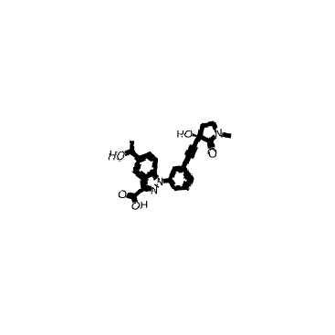 CC(O)c1ccc2c(c1)c(C(=O)O)nn2-c1cccc(C#C[C@]2(O)CCN(C)C2=O)c1